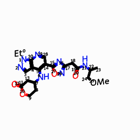 CCn1ncc2c(NC3CCOC(=O)C3)c(-c3nc(CC(=O)NC(C)COC)no3)cnc21